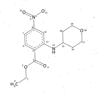 CCOC(=O)c1ccc([N+](=O)[O-])cc1NC1CCOCC1